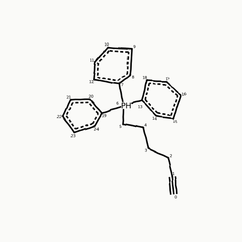 C#CCCCC[PH](c1ccccc1)(c1ccccc1)c1ccccc1